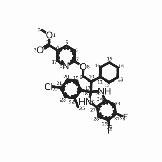 COC(=O)c1ccc(OCC(C2CCCCC2)C2(c3ccc(Cl)cc3C)Nc3cc(F)c(F)cc3N2)nc1